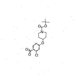 CC(C)(C)OC(=O)N1CCC(Oc2ccc([N+](=O)[O-])c(Cl)c2)CC1